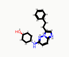 O[C@H]1CC[C@H](Nc2ccc3ncc(CCc4ccccc4)n3n2)CC1